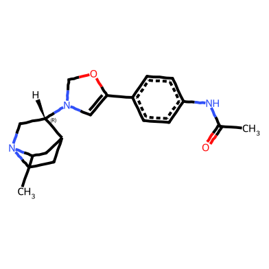 CC(=O)Nc1ccc(C2=CN([C@H]3CN4CCC3CC4C)CO2)cc1